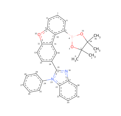 CC1(C)OB(c2cccc3oc4ccc(-c5nc6ccccc6n5-c5ccccc5)cc4c23)OC1(C)C